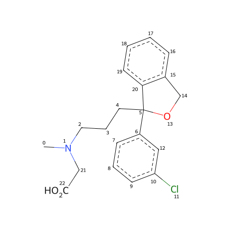 CN(CCCC1(c2cccc(Cl)c2)OCc2ccccc21)CC(=O)O